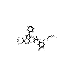 COCCCc1cc(Cl)c(Cl)cc1NC(=O)Nc1c(C)c(C2(C#N)CCOCC2)nn1-c1ccccc1